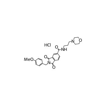 COc1ccc(CN2C(=O)c3ccc(C(=O)NCCCN4CCOCC4)cc3C2=O)cc1.Cl